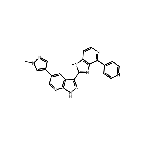 Cn1cc(-c2cnc3[nH]nc(-c4nc5c(-c6ccncc6)nccc5[nH]4)c3c2)cn1